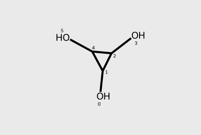 O[C]1C(O)C1O